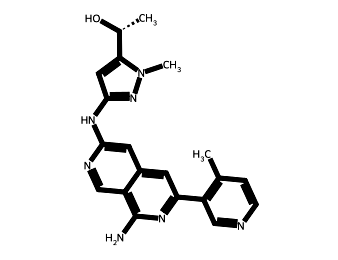 Cc1ccncc1-c1cc2cc(Nc3cc([C@@H](C)O)n(C)n3)ncc2c(N)n1